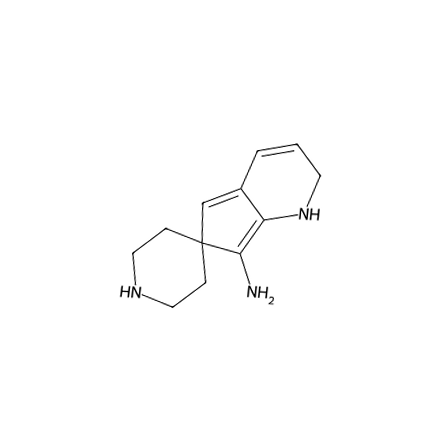 NC1=C2NCC=CC2=CC12CCNCC2